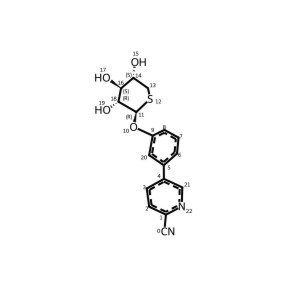 N#Cc1ccc(-c2cccc(O[C@@H]3SC[C@@H](O)[C@H](O)[C@H]3O)c2)cn1